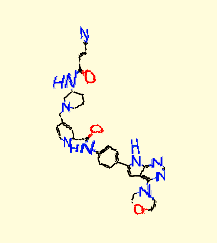 N#C/C=C/C(=O)N[C@@H]1CCCN(Cc2ccnc(C(=O)Nc3ccc(-c4cc5c(N6CCOCC6)ncnc5[nH]4)cc3)c2)C1